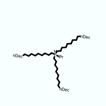 CCCCCCCCCCCCCCCCCCC[PH](CCCCCCCCCCCCCCCCCCC)(CCCCCCCCCCCCCCCCCCC)C(C)C